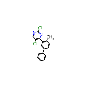 Cc1ccc(-c2ccccc2)cc1-c1nc(Cl)ncc1Cl